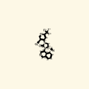 N#Cc1cnc(C(F)(F)F)cc1N1C[C@H](C#N)N(c2cncc3ccccc23)C1=O